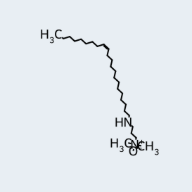 CCCCCCCC/C=C\CCCCCCCCCCCCNCCC[N+](C)(C)[O-]